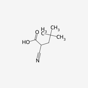 CC(C)(C)CC(C#N)C(=O)O